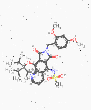 COc1ccc(CN2C(=O)c3c(c(O[Si](C(C)C)(C(C)C)C(C)C)c4ncccc4c3NS(C)(=O)=O)C2=O)c(OC)c1